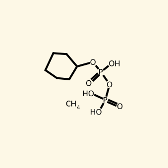 C.O=P(O)(O)OP(=O)(O)OC1CCCCC1